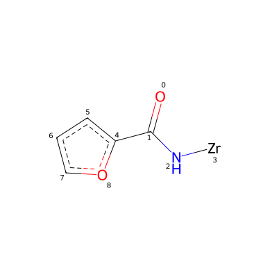 O=C([NH][Zr])c1ccco1